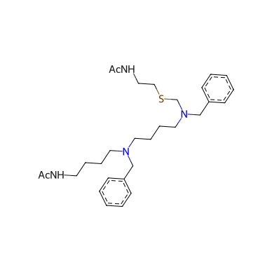 CC(=O)NCCCCN(CCCCN(CSCCNC(C)=O)Cc1ccccc1)Cc1ccccc1